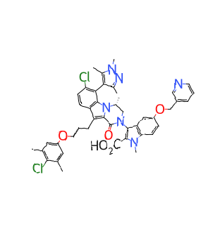 Cc1cc(OCCCc2c3n(c4c(-c5c(C)nn(C)c5C)c(Cl)ccc24)[C@H](C)CN(c2c(C(=O)O)n(C)c4ccc(OCc5cccnc5)cc24)C3=O)cc(C)c1Cl